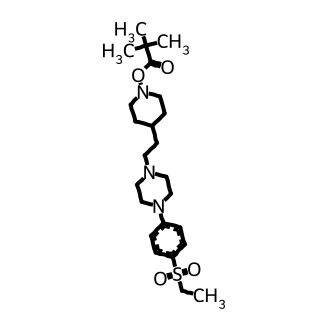 CCS(=O)(=O)c1ccc(N2CCN(CCC3CCN(OC(=O)C(C)(C)C)CC3)CC2)cc1